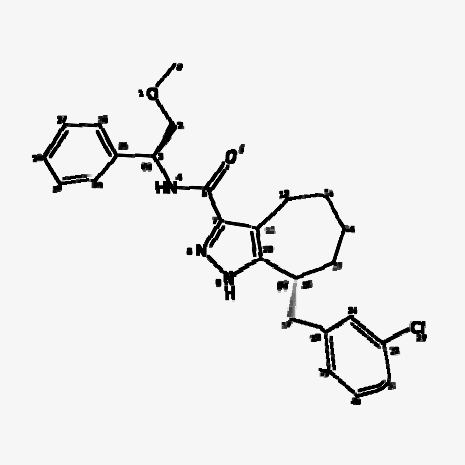 COC[C@@H](NC(=O)c1n[nH]c2c1CCCC[C@@H]2Cc1cccc(Cl)c1)c1ccccc1